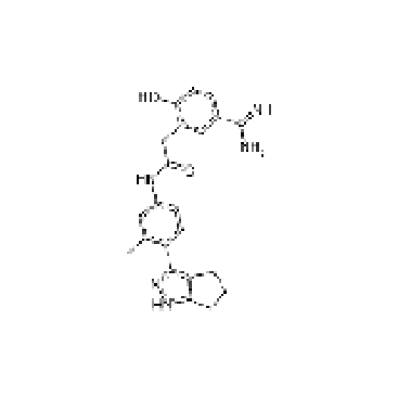 Cc1cc(NC(=O)Cc2cc(C(=N)N)ccc2O)ccc1-c1n[nH]c2c1CCC2